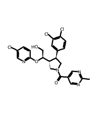 Cc1ncc(C(=O)N2C[C@H]([C@H](CO)Oc3ccc(Cl)cn3)[C@@H](c3ccc(Cl)c(Cl)c3)C2)cn1